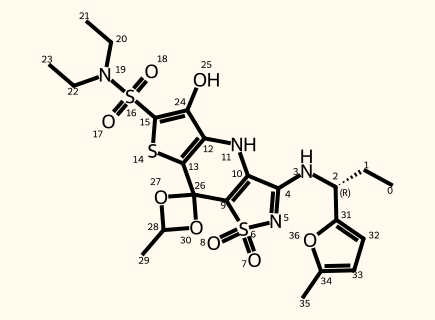 CC[C@@H](NC1=NS(=O)(=O)C2=C1Nc1c(sc(S(=O)(=O)N(CC)CC)c1O)C21OC(C)O1)c1ccc(C)o1